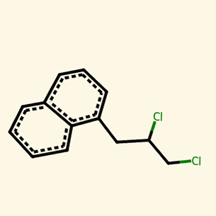 ClCC(Cl)Cc1cccc2ccccc12